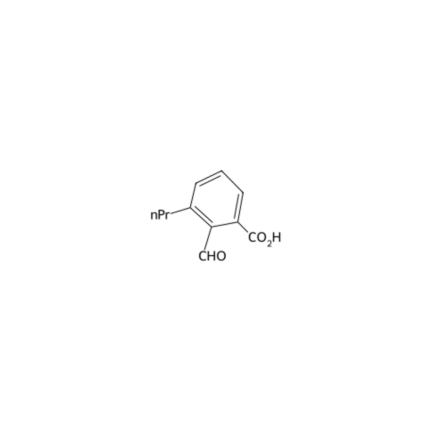 CCCc1cccc(C(=O)O)c1C=O